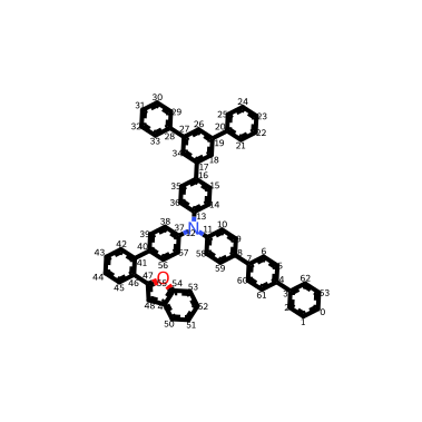 c1ccc(-c2ccc(-c3ccc(N(c4ccc(-c5cc(-c6ccccc6)cc(-c6ccccc6)c5)cc4)c4ccc(-c5ccccc5-c5cc6ccccc6o5)cc4)cc3)cc2)cc1